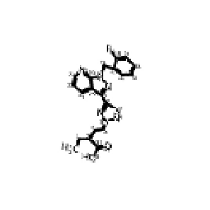 CCC(CCn1nnc(-c2nn(Cc3ccccc3F)c3ncccc23)n1)C(=O)O